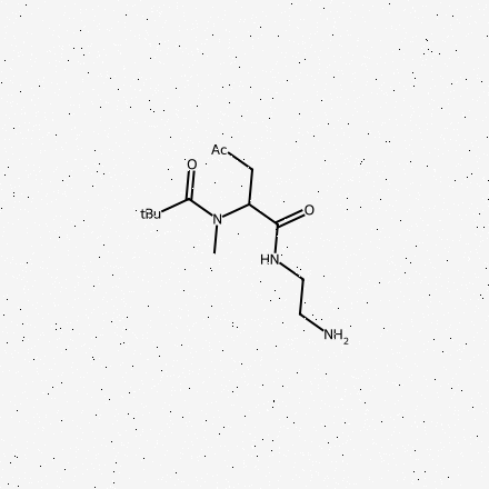 CC(=O)CC(C(=O)NCCN)N(C)C(=O)C(C)(C)C